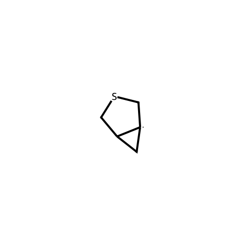 C1SCC2C[C]12